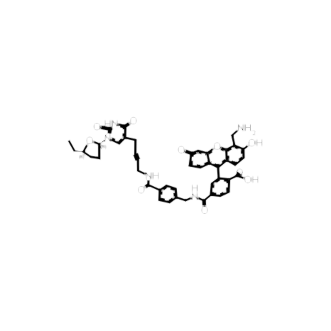 CC[C@@H]1CC[C@H](n2cc(CC#CCNC(=O)c3ccc(CNC(=O)c4ccc(C(=O)O)c(-c5c6ccc(=O)cc-6oc6c(CN)c(O)ccc56)c4)cc3)c(=O)[nH]c2=O)O1